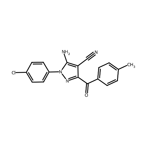 Cc1ccc(C(=O)c2nn(-c3ccc(Cl)cc3)c(N)c2C#N)cc1